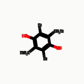 CCOC(=O)c1c(O)c(CC)c(C(=O)OCC)c(O)c1CC